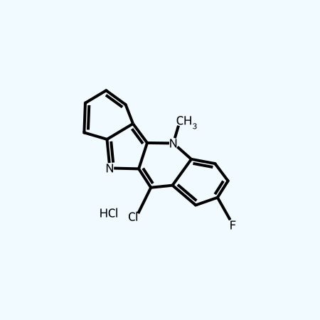 Cl.Cn1c2c3ccccc3nc-2c(Cl)c2cc(F)ccc21